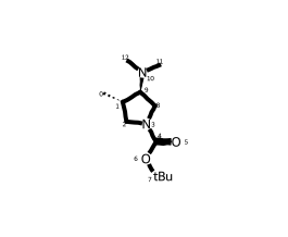 C[C@H]1CN(C(=O)OC(C)(C)C)C[C@@H]1N(C)C